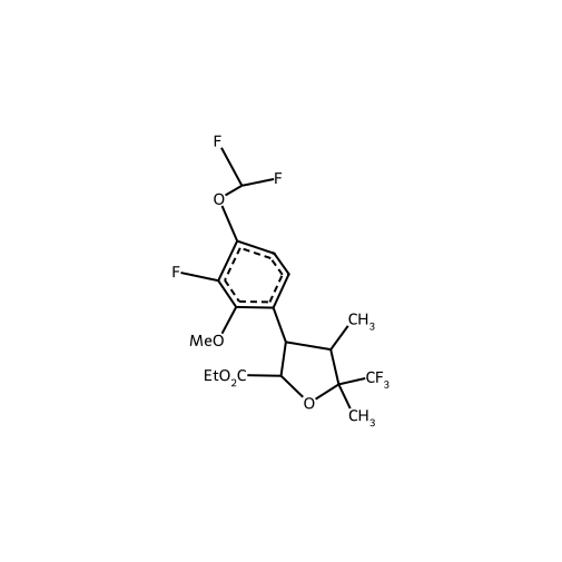 CCOC(=O)C1OC(C)(C(F)(F)F)C(C)C1c1ccc(OC(F)F)c(F)c1OC